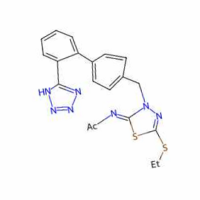 CCSc1nn(Cc2ccc(-c3ccccc3-c3nnn[nH]3)cc2)c(=NC(C)=O)s1